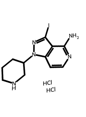 Cl.Cl.Nc1nccc2c1c(I)nn2C1CCCNC1